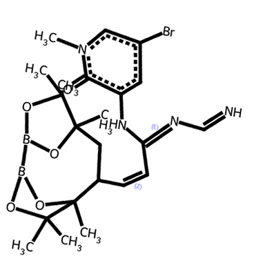 Cn1cc(Br)cc(NC(/C=C\C2CC3(C)OB(OC3(C)C)B3OC(C)(C)C2(C)O3)=N/C=N)c1=O